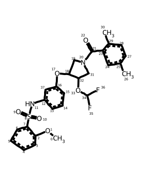 COc1ccccc1S(=O)(=O)Nc1cccc(OC2CN(C(=O)c3cc(C)ccc3C)CC2OC(F)F)c1